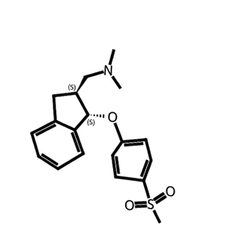 CN(C)C[C@@H]1Cc2ccccc2[C@H]1Oc1ccc(S(C)(=O)=O)cc1